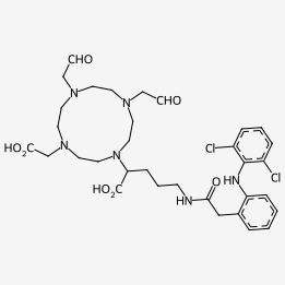 O=CCN1CCN(CC=O)CCN(C(CCCNC(=O)Cc2ccccc2Nc2c(Cl)cccc2Cl)C(=O)O)CCN(CC(=O)O)CC1